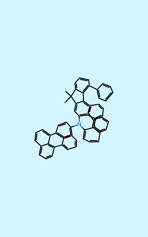 CC1(C)c2cc(N(c3ccc(-c4cccc5cccc(-c6ccccc6)c45)cc3)c3ccccc3-c3ccccc3)c(-c3ccccc3)cc2-c2c(-c3ccccc3)cccc21